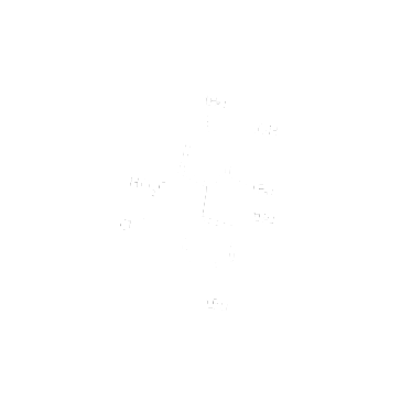 CC(C)(C)c1cc(CCl)c(-c2c(C(=O)O)cc(C(C)(C)C)c(O)c2C(C)(C)C)c(C(C)(C)C)c1